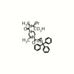 CC(C)[C@@H](C(=O)O)N(C)C(=O)N1CCN(C(=O)[C@H]2CN2C(c2ccccc2)(c2ccccc2)c2ccccc2)[C@H](C)C1